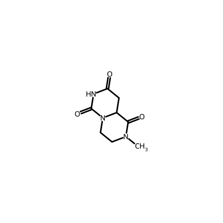 CN1CCN2C(=O)NC(=O)CC2C1=O